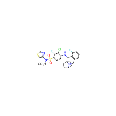 O=C(O)N(c1cscn1)S(=O)(=O)c1ccc(NCc2c(F)cccc2CN2C3CCC2CC3)c(Cl)c1F